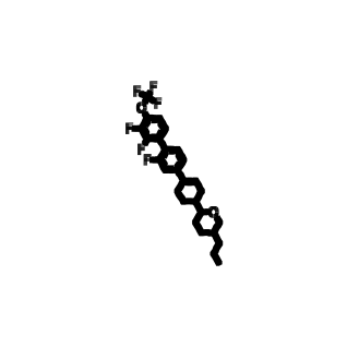 CCCC1CCC(C2CC=C(c3ccc(-c4ccc(OC(F)(F)F)c(F)c4F)c(F)c3)CC2)OC1